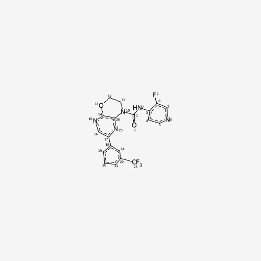 O=C(Nc1ccncc1F)N1CCOc2ncc(-c3cccc(C(F)(F)F)c3)nc21